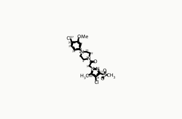 COc1cc(N2CCN(C(=O)Cn3nc(S(C)(=O)=O)c(Cl)c3C)CC2)ccc1Cl